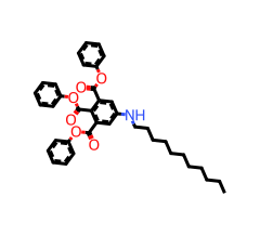 CCCCCCCCCCCNc1cc(C(=O)Oc2ccccc2)c(C(=O)Oc2ccccc2)c(C(=O)Oc2ccccc2)c1